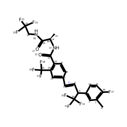 Cc1cc(C(/C=C/c2ccc(C(=O)N[C@H](C)C(=O)NCC(F)(F)F)c(C(F)(F)F)c2)C(F)(F)F)ccc1F